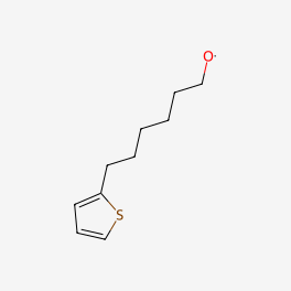 [O]CCCCCCc1cccs1